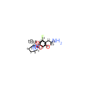 CC(C)(C)OC(=O)N1C2CCC1CN(c1cc(F)c3c(c1)OCC(N)C3)C2